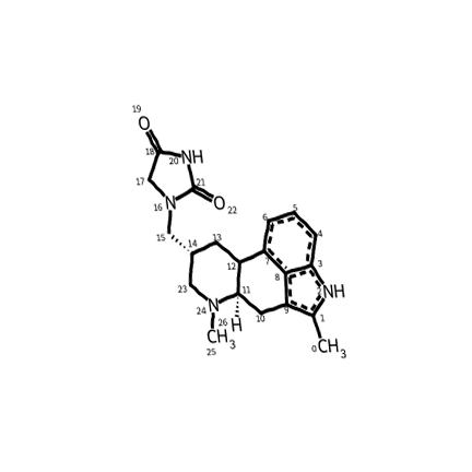 Cc1[nH]c2cccc3c2c1C[C@@H]1C3C[C@@H](CN2CC(=O)NC2=O)CN1C